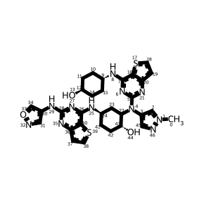 Cn1cc(N(c2nc(N[C@H]3CC[C@H](O)CC3)c3sccc3n2)C2C[C@H](Nc3nc(Nc4cnoc4)nc4ccsc34)CC[C@H]2O)cn1